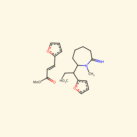 CN1C(=N)CCCCC1C(CC(=O)O)c1ccco1.COC(=O)C=Cc1ccco1